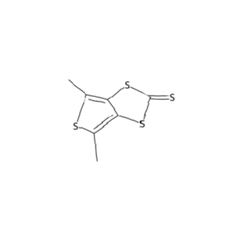 Cc1sc(C)c2sc(=S)sc12